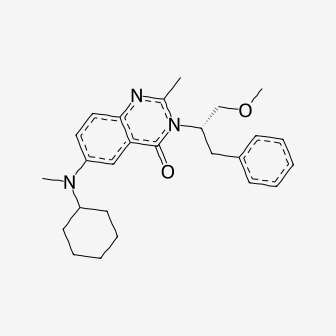 COC[C@H](Cc1ccccc1)n1c(C)nc2ccc(N(C)C3CCCCC3)cc2c1=O